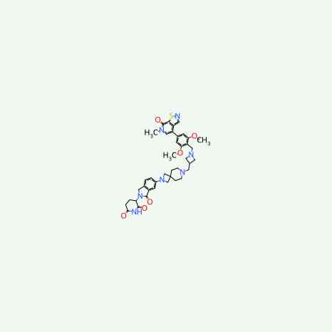 COc1cc(-c2cn(C)c(=O)c3sncc23)cc(OC)c1CN1CC(CN2CCC3(CC2)CN(c2ccc4c(c2)C(=O)N(C2CCC(=O)NC2=O)C4)C3)C1